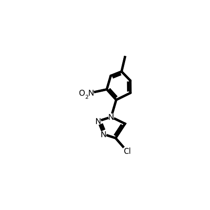 Cc1ccc(-n2cc(Cl)nn2)c([N+](=O)[O-])c1